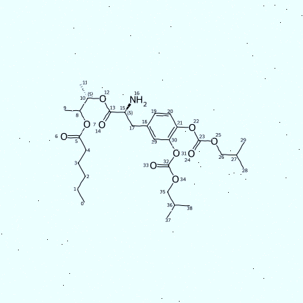 CCCCCC(=O)OC(C)[C@H](C)OC(=O)[C@@H](N)Cc1ccc(OC(=O)OCC(C)C)c(OC(=O)OCC(C)C)c1